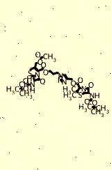 CC(=O)OCC1=C(C(=O)OCCCn2cc(COC(=O)C3N4C(=O)[C@@H](NC(=O)OC(C)(C)C)C4SC3(C)C)nn2)N2C(=O)[C@@H](NC(=O)OC(C)(C)C)[C@H]2SC1